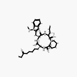 CCC(=O)CCCCC[C@@H]1NC(=O)[C@H]2CCCCN2C(=O)C([C@@H](C)CC)NC(=O)[C@H](Cc2cc3ccccc3n2OC)NC1=O